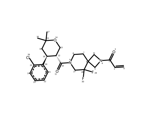 C=CC(=O)N1CC2(CCN(C(=O)[C@H]3COC(C)(C)C[C@@H]3c3ccccc3Cl)CC2(F)F)C1